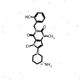 CCn1c(N2CCC[C@@H](N)C2)cc2c1c(=O)n(Cc1ccccc1C#N)c(=O)n2C